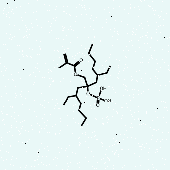 C=C(C)C(=O)OCC(CC(CC)CCCC)(CC(CC)CCCC)OP(=O)(O)O